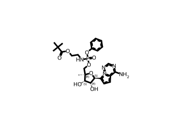 CC(C)(C)C(=O)OCCNP(=O)(OC[C@@]1(C)O[C@@H](c2ccc3c(N)ncnn23)[C@H](O)[C@@H]1O)Oc1ccccc1